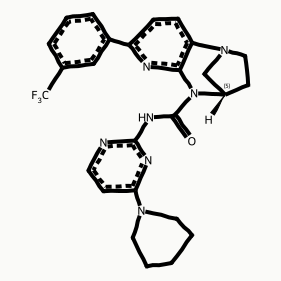 O=C(Nc1nccc(N2CCCCC2)n1)N1c2nc(-c3cccc(C(F)(F)F)c3)ccc2N2CC[C@H]1C2